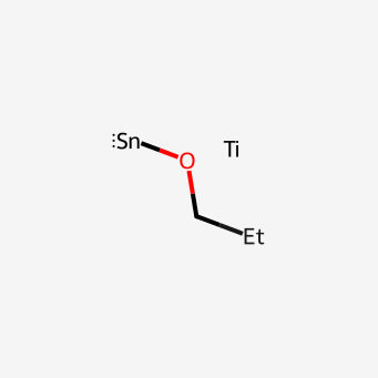 CCC[O][Sn].[Ti]